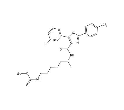 Cc1cccc(-c2oc(-c3ccc(C(F)(F)F)cc3)nc2C(=O)NC(C)CCCCCNC(=O)OC(C)(C)C)c1